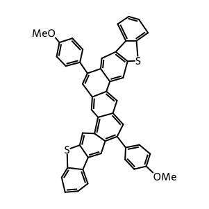 COc1ccc(-c2cc3cc4c(cc(-c5ccc(OC)cc5)c5cc6c(cc54)sc4ccccc46)cc3c3cc4sc5ccccc5c4cc23)cc1